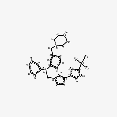 FC(F)(F)c1nc(-c2ccc(CN(c3cnccn3)c3cc(CN4CCOCC4)ccn3)s2)no1